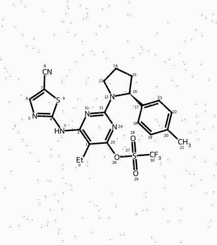 CCc1c(Nc2ncc(C#N)s2)nc(N2CCC[C@H]2c2ccc(C)cc2)nc1OS(=O)(=O)C(F)(F)F